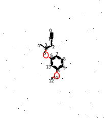 C#CC[C@H](C)Oc1cccc(OC)c1